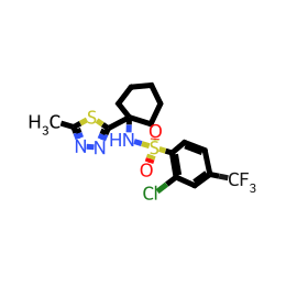 Cc1nnc(C2(NS(=O)(=O)c3ccc(C(F)(F)F)cc3Cl)CCCCC2)s1